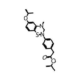 CC(C)OC(=O)Cc1ccc(N2CN(C)c3cc(OC(C)C)ccc3S2)cc1